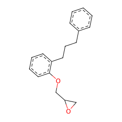 c1ccc(CCCc2ccccc2OCC2CO2)cc1